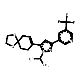 CC(C)n1nc(-c2cncc(C(F)(F)F)c2)cc1C1=CCC2(CC1)OCCO2